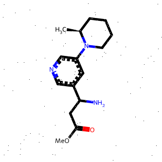 COC(=O)CC(N)c1cncc(N2CCCC[C@@H]2C)c1